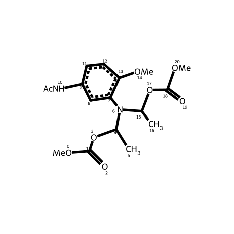 COC(=O)OC(C)N(c1cc(NC(C)=O)ccc1OC)C(C)OC(=O)OC